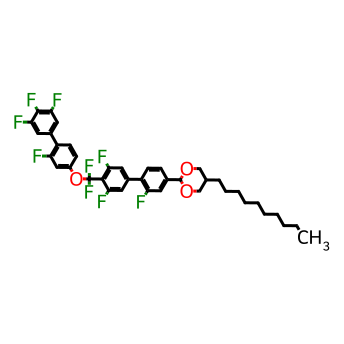 CCCCCCCCCCC1COC(c2ccc(-c3cc(F)c(C(F)(F)Oc4ccc(-c5cc(F)c(F)c(F)c5)c(F)c4)c(F)c3)c(F)c2)OC1